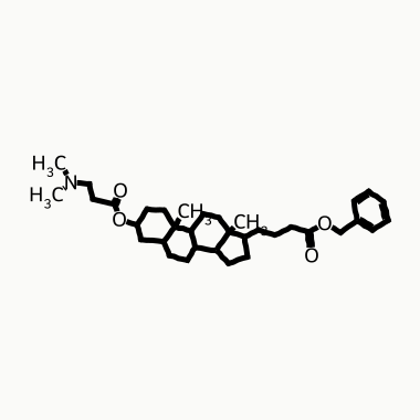 CN(C)CCC(=O)OC1CCC2(C)C(CCC3C4CCC(CCCC(=O)OCc5ccccc5)C4(C)CCC32)C1